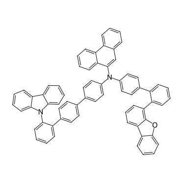 c1ccc(-c2cccc3c2oc2ccccc23)c(-c2ccc(N(c3ccc(-c4ccc(-c5ccccc5-n5c6ccccc6c6ccccc65)cc4)cc3)c3cc4ccccc4c4ccccc34)cc2)c1